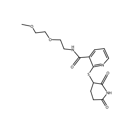 COCCOCCNC(=O)c1cccnc1SC1CCC(=O)NC1=O